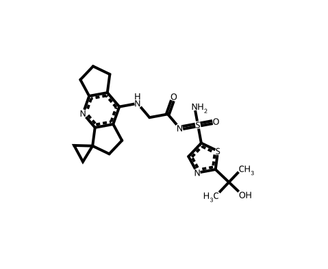 CC(C)(O)c1ncc(S(N)(=O)=NC(=O)CNc2c3c(nc4c2CCC42CC2)CCC3)s1